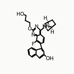 OCCCOc1nc(N2C[C@H]3CC[C@@H](C2)N3)c2ccc(-c3cc(O)cc4ccccc34)c(F)c2n1